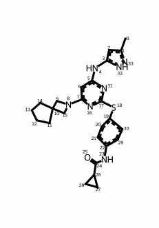 Cc1cc(Nc2cc(N3CC4(CCCC4)C3)nc(Sc3ccc(NC(=O)C4CC4)cc3)n2)[nH]n1